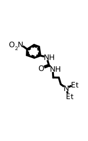 CCN(CC)CCCNC(=O)Nc1ccc([N+](=O)[O-])cc1